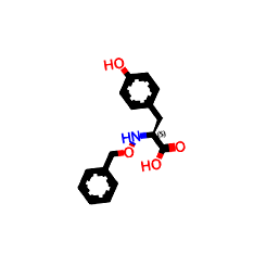 O=C(O)[C@H](Cc1ccc(O)cc1)NOCc1ccccc1